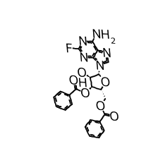 Nc1nc(F)nc2c1ncn2[C@@H]1O[C@H](COC(=O)c2ccccc2)[C@@H](OC(=O)c2ccccc2)[C@H]1O